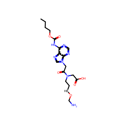 CCCCOC(=O)Nc1ncnc2c1ncn2CC(=O)N(CCBOCN)CC(=O)O